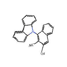 N#Cc1cc2ccccc2c(-n2c3ccccc3c3ccccc32)c1C#N